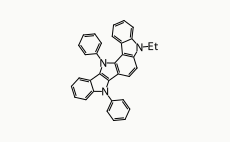 CCn1c2ccccc2c2c1ccc1c3c(c4ccccc4n3-c3ccccc3)n(-c3ccccc3)c12